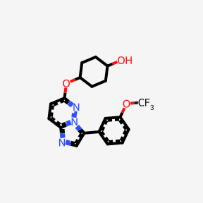 OC1CCC(Oc2ccc3ncc(-c4cccc(OC(F)(F)F)c4)n3n2)CC1